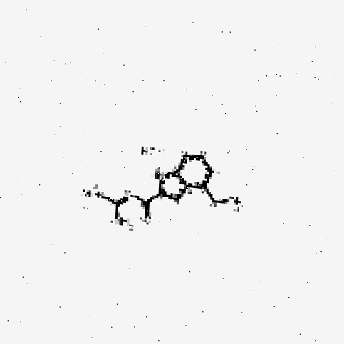 CNC(N)=NC(=O)c1cc2c(CO)cccc2[nH]1.Cl